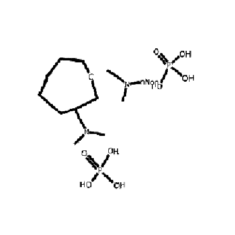 CCCCCCCCCN(C)C.CN(C)C1CCCCCCC1.O=P(O)(O)O.O=P(O)(O)O